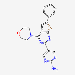 Nc1ncc(-c2nc(N3CCOCC3)c3cc(-c4c[c]ccc4)sc3n2)cn1